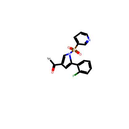 [2H]C(=O)c1cc(-c2ccccc2F)n(S(=O)(=O)c2cccnc2)c1